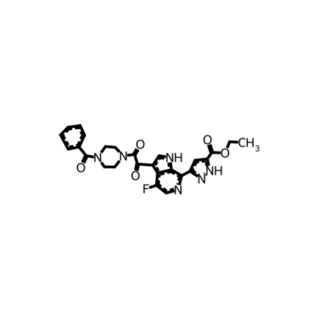 CCOC(=O)c1cc(-c2ncc(F)c3c(C(=O)C(=O)N4CCN(C(=O)c5ccccc5)CC4)c[nH]c23)n[nH]1